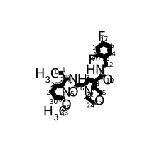 CC[C@@H](NC(=O)c1cc(C(=O)NCc2ccc(F)cc2F)c2n1CCOC2)c1cccc(OC)n1